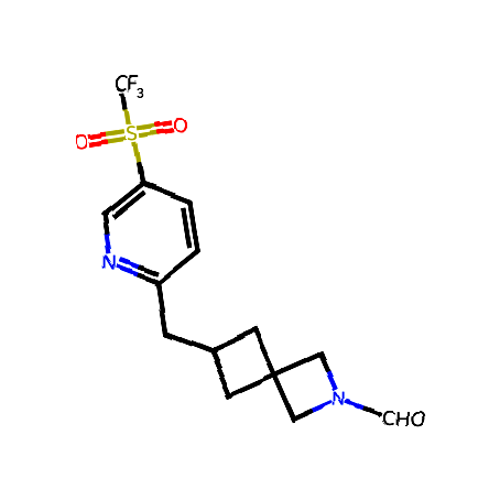 O=CN1CC2(CC(Cc3ccc(S(=O)(=O)C(F)(F)F)cn3)C2)C1